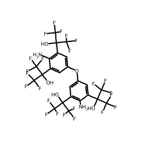 Nc1c(C(O)(C(F)(F)F)C(F)(F)F)cc(Oc2cc(C(O)(C(F)(F)F)C(F)(F)F)c(N)c(C(O)(C(F)(F)F)C(F)(F)F)c2)cc1C(O)(C(F)(F)F)C(F)(F)F